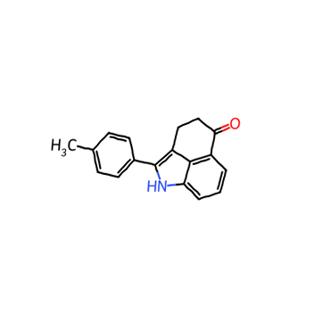 Cc1ccc(-c2[nH]c3cccc4c3c2CCC4=O)cc1